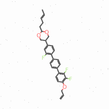 C=CCOc1ccc(-c2ccc(-c3ccc(C4COC(CC/C=C/C)OC4)cc3F)cc2)c(F)c1F